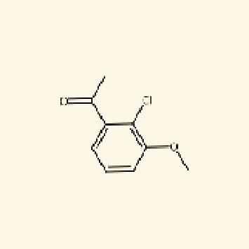 COc1cccc(C(C)=O)c1Cl